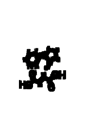 CN1CCC[C@H]1c1cccnc1.O=C(O)C=CC(=O)O